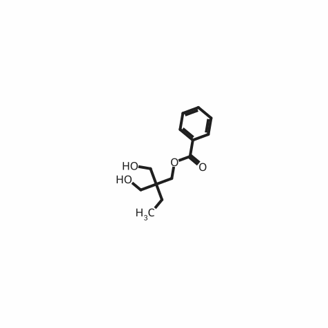 CCC(CO)(CO)COC(=O)c1ccccc1